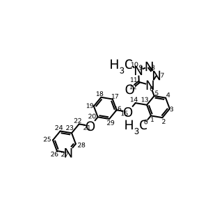 Cc1cccc(-n2nnn(C)c2=O)c1COc1cccc(OCc2cccnc2)c1